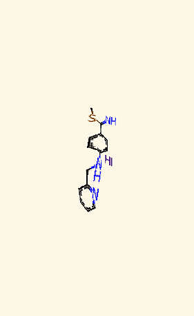 CSC(=N)c1ccc(NCc2ccccn2)cc1.I